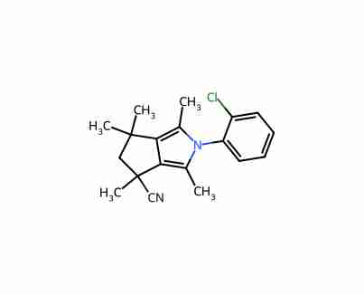 Cc1c2c(c(C)n1-c1ccccc1Cl)C(C)(C#N)CC2(C)C